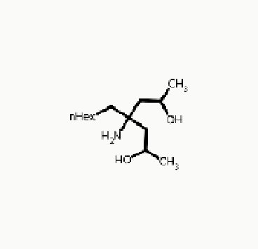 CCCCCCCC(N)(CC(C)O)CC(C)O